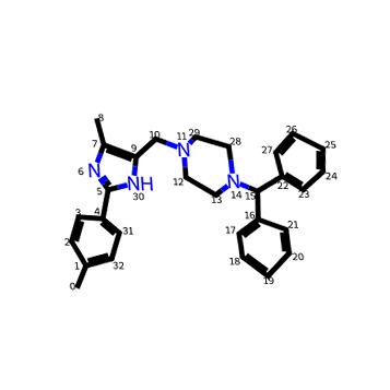 Cc1ccc(-c2nc(C)c(CN3CCN(C(c4ccccc4)c4ccccc4)CC3)[nH]2)cc1